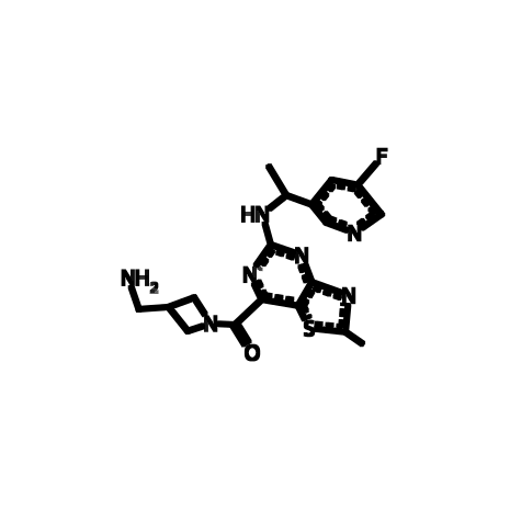 Cc1nc2nc(NC(C)c3cncc(F)c3)nc(C(=O)N3CC(CN)C3)c2s1